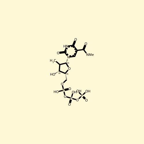 CNC(=O)c1cn([C@@H]2O[C@H](COP(=O)(O)OP(=O)(O)OP(=O)(O)O)[C@H](O)C2C)c(=O)[nH]c1=O